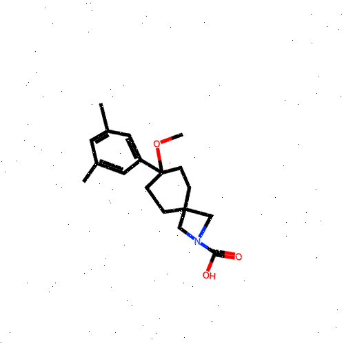 COC1(c2cc(C)cc(C)c2)CCC2(CC1)CN(C(=O)O)C2